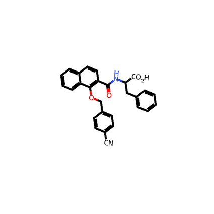 N#Cc1ccc(COc2c(C(=O)NC(Cc3ccccc3)C(=O)O)ccc3ccccc23)cc1